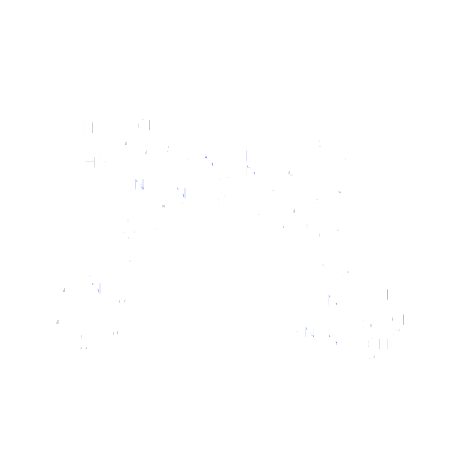 CC(C)(C)c1cc(NC(=O)N[C@H]2CC[C@@H](Oc3ccc4nnc(C(C)(C)C)n4c3)c3ccccc32)nc(COCCN2CCOCC2)n1